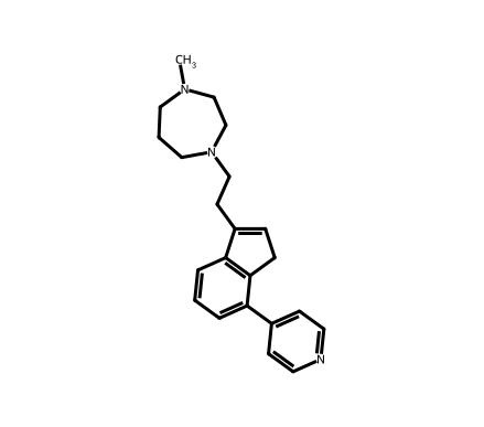 CN1CCCN(CCC2=CCc3c2cccc3-c2ccncc2)CC1